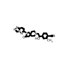 Cc1cc(C(O)CN2CCC3(CC2)CC(=O)N(c2ccc4nncn4n2)C3)ccc1C#N